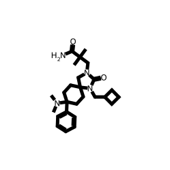 CN(C)C1(c2ccccc2)CCC2(CC1)CN(CC(C)(C)C(N)=O)C(=O)N2CC1CCC1